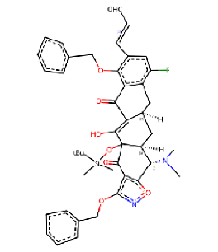 CN(C)[C@@H]1c2onc(OCc3ccccc3)c2C(=O)C2(O[Si](C)(C)C(C)(C)C)C(O)=C3C(=O)c4c(c(F)cc(/C=C/C=O)c4OCc4ccccc4)C[C@H]3C[C@@H]12